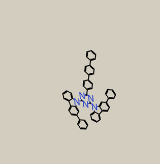 c1ccc(-c2ccc(-c3ccc(-c4nc(-n5c6ccccc6c6ccc(-c7ccccc7)cc65)nc(-n5c6ccccc6c6ccc(-c7ccccc7)cc65)n4)cc3)cc2)cc1